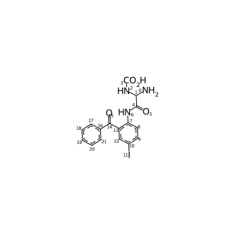 NC(NC(=O)O)C(=O)Nc1ccc(I)cc1C(=O)c1ccccc1